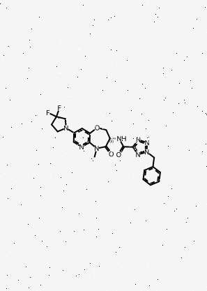 CN1C(=O)[C@@H](NC(=O)c2nnn(Cc3ccccc3)n2)COc2cc(N3CCC(F)(F)C3)cnc21